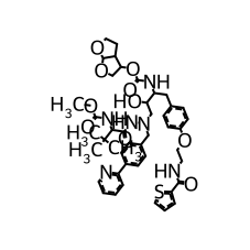 COC(=O)NC(C(=O)NN(Cc1ccc(-c2ccccn2)cc1)CC(O)C(Cc1ccc(OCCNC(=O)c2cccs2)cc1)NC(=O)OC1COC2OCCC12)C(C)(C)C